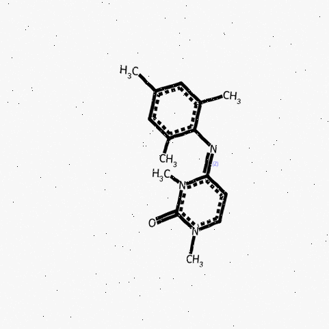 Cc1cc(C)c(/N=c2/ccn(C)c(=O)n2C)c(C)c1